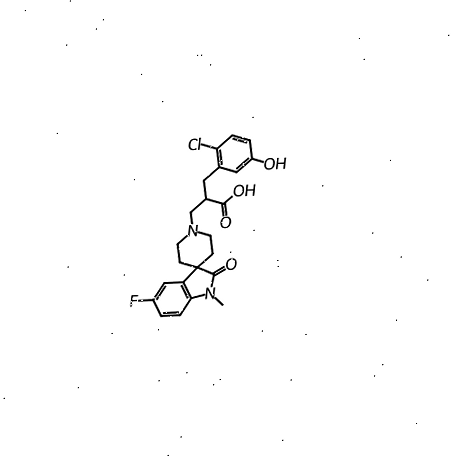 CN1C(=O)C2(CCN(CC(Cc3cc(O)ccc3Cl)C(=O)O)CC2)c2cc(F)ccc21